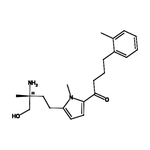 Cc1ccccc1CCCC(=O)c1ccc(CC[C@@](C)(N)CO)n1C